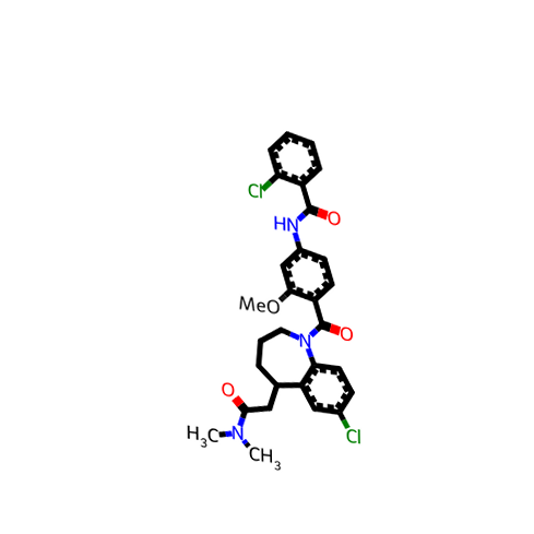 COc1cc(NC(=O)c2ccccc2Cl)ccc1C(=O)N1CCCC(CC(=O)N(C)C)c2cc(Cl)ccc21